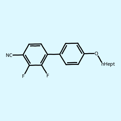 CCCCCCCOc1ccc(-c2ccc(C#N)c(F)c2F)cc1